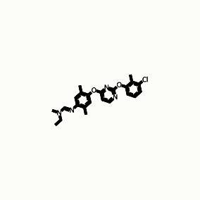 CCN(C)C=Nc1cc(C)c(Oc2ccnc(Oc3cccc(Cl)c3C)n2)cc1C